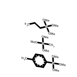 CO[Si](C)(OC)OC.CO[Si](CCC(F)(F)F)(OC)OC.CO[Si](OC)(OC)c1ccc(C)cc1